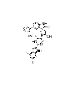 CC(C)C[C@@H](C(=O)N1C[C@]2(C[C@H]1C#N)C(=O)Nc1ccc(-c3ccsc3)cc12)N(C)C(=O)c1cc2c(F)cc(F)cc2[nH]1